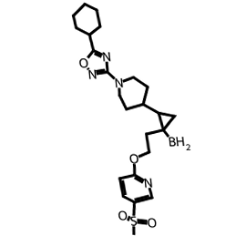 BC1(CCOc2ccc(S(C)(=O)=O)cn2)CC1C1CCN(c2noc(C3CCCCC3)n2)CC1